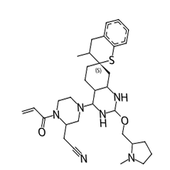 C=CC(=O)N1CCN(C2NC(OCC3CCCN3C)NC3C[C@]4(CCC32)Sc2ccccc2CC4C)CC1CC#N